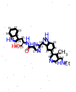 CCNCc1cncc(-c2ccc3[nH]nc(-c4ncc(C(=O)N[C@@H](CO)Cc5c[nH]c6ccccc56)[nH]4)c3c2)c1C